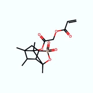 C=CC(=O)OCC(=O)OC1(C)C2(C)CC3C(C2C)C1(C)OS3(=O)=O